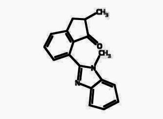 CC1Cc2cccc(-c3nc4ccccc4n3C)c2C1=O